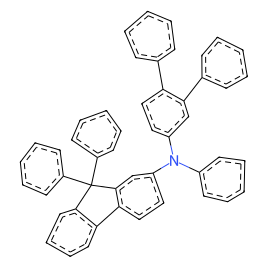 c1ccc(-c2ccc(N(c3ccccc3)c3ccc4c(c3)C(c3ccccc3)(c3ccccc3)c3ccccc3-4)cc2-c2ccccc2)cc1